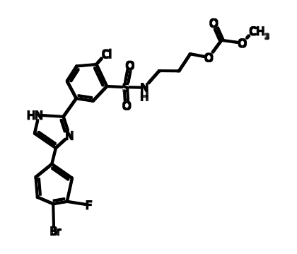 COC(=O)OCCCNS(=O)(=O)c1cc(-c2nc(-c3ccc(Br)c(F)c3)c[nH]2)ccc1Cl